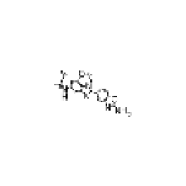 C[C@@H]1Cn2c(-c3ccc4oc(N)nc4c3)nc3cc(N[C@H](C)C4CC4)cc(c32)O1